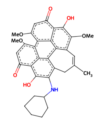 COc1c(O)c2c(=O)cc(OC)c3c4c(OC)cc(=O)c5c(O)c(NC6CCCCC6)c6c(c(c1C=C(C)C6)c23)c54